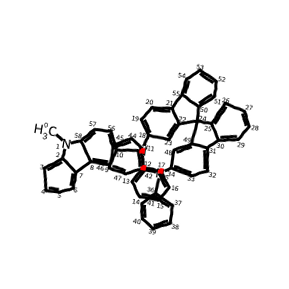 Cn1c2ccccc2c2cc(N(c3ccccc3)c3ccc4c(c3)C3(c5ccccc5-c5ccc(N(c6ccccc6)c6ccccc6)cc53)c3ccccc3-4)ccc21